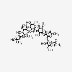 COC1[C@H](O[C@@H]2C(O)[C@H](O[C@@H]3C(O)[C@H](O[C@@H](C)[C@@H](OC(C)C)O[C@H](CNC(C)=O)[C@@H](O)C(O)CO)OC(C)[C@@H]3O)OC(C)[C@@H]2O)OC(C)[C@@H](NC(=O)CC(C)(C)O)[C@@H]1O